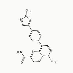 Cc1ncc(-c2ccc(-c3cnn(C)c3)cc2)c2nc(C(N)=O)ccc12